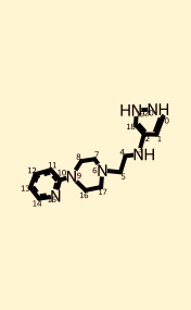 C1=CC(NCCN2CCN(c3ccccn3)CC2)=CNN1